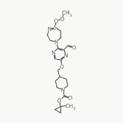 COOS1=NCCN(c2ncc(OCC3CCN(C(=O)OC4(C)CC4)CC3)nc2C=O)CC1